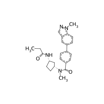 CCC(=O)N[C@H]1CC[C@@H](N(C)C(=O)c2ccc(-c3ccc4c(cnn4C)c3)cc2)C1